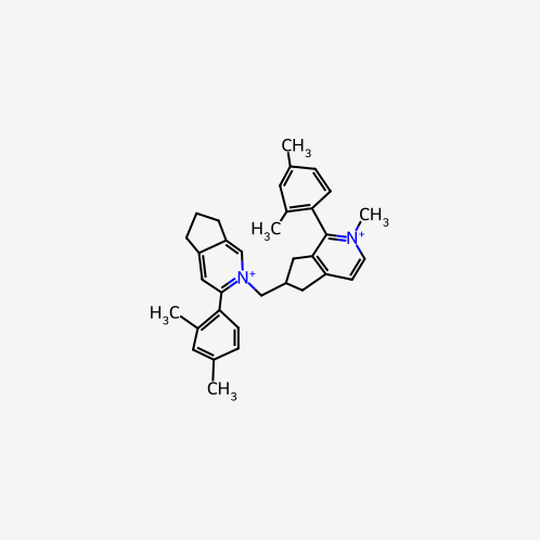 Cc1ccc(-c2c3c(cc[n+]2C)CC(C[n+]2cc4c(cc2-c2ccc(C)cc2C)CCC4)C3)c(C)c1